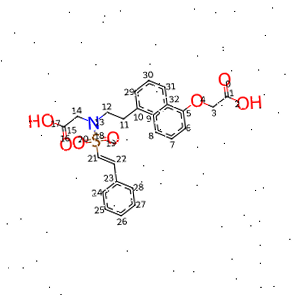 O=C(O)COc1cccc2c(CCN(CC(=O)O)S(=O)(=O)C=Cc3ccccc3)cccc12